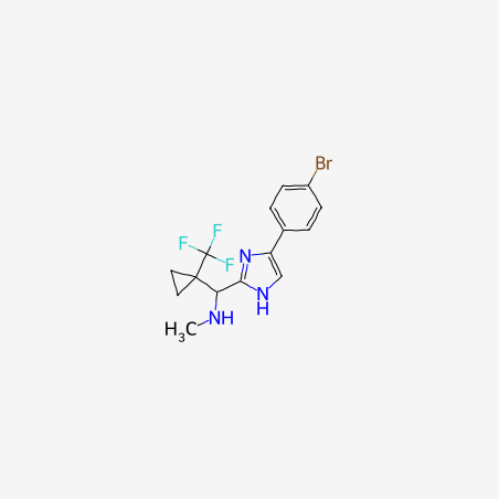 CNC(c1nc(-c2ccc(Br)cc2)c[nH]1)C1(C(F)(F)F)CC1